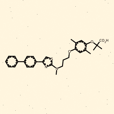 Cc1cc(OC(C)(C)C(=O)O)c(C)cc1OCCCN(C)c1nc(-c2ccc(-c3ccccc3)cc2)cs1